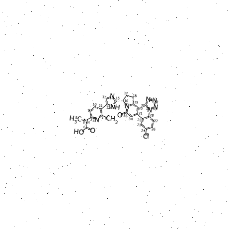 Cc1nc(N(C)C(=O)O)ccc1-c1cnc([C@@H]2CCc3cc(-c4cc(Cl)ccc4-n4cnnn4)cc(=O)n32)[nH]1